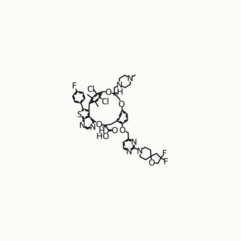 Cc1c(Cl)c2c(Cl)c(C)c1-c1c(-c3ccc(F)cc3)sc3ncnc(c13)O[C@@H](C(=O)O)Cc1cc(ccc1OCc1ccnc(N3CCC4(CC3)CC(F)(F)CO4)n1)OC[C@@H](CN1CCN(C)CC1)O2